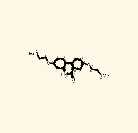 CNCCOc1ccc2c(c1)[nH]c(=O)c1cc(OCCNC)ccc12